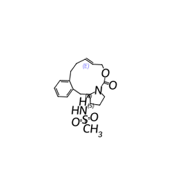 CS(=O)(=O)N[C@H]1CCN2C(=O)OC/C=C/CCc3ccccc3C[C@@H]12